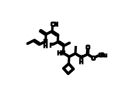 C=C(N/C=C/C)/C(C#N)=C\C(F)=C(/C)NC(C1CCC1)C(C)NC(=O)OC(C)(C)C